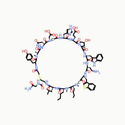 CCCC[C@H]1C(=O)N(C)[C@@H](CCCC)C(=O)N[C@@H](CC(C)C)C(=O)N[C@H](C(=O)NCC(N)=O)CSCC(=O)NC(Cc2ccc(O)cc2)C(=O)N(C)[C@@H](C)C(=O)N[C@@H](CC(N)=O)C(=O)N(CC(=O)O)CC(=O)N[C@@H](Cc2c[nH]cn2)C(=O)N[C@@H](CCC(=O)O)C(=O)N2C[C@H](O)C[C@H]2C(=O)N[C@@H](Cc2c[nH]c3ccccc23)C(=O)N[C@@H](CCN)C(=O)N[C@@H](Cc2csc3ccccc23)C(=O)CN1C